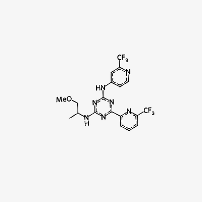 COCC(C)Nc1nc(Nc2ccnc(C(F)(F)F)c2)nc(-c2cccc(C(F)(F)F)n2)n1